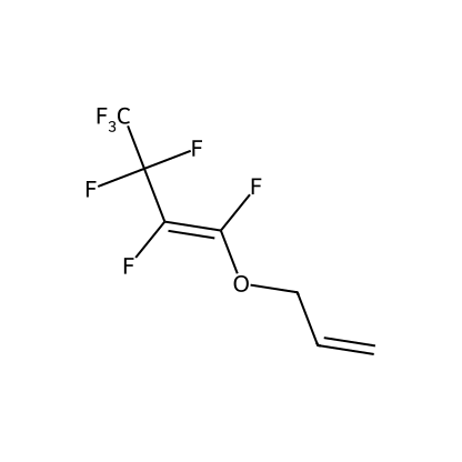 C=CCOC(F)=C(F)C(F)(F)C(F)(F)F